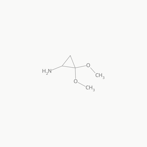 COC1(OC)CC1N